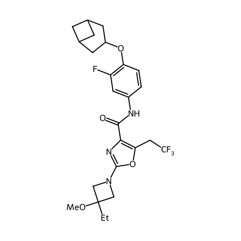 CCC1(OC)CN(c2nc(C(=O)Nc3ccc(OC4CC5CC(C5)C4)c(F)c3)c(CC(F)(F)F)o2)C1